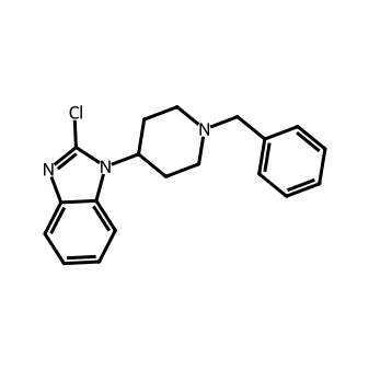 Clc1nc2ccccc2n1C1CCN(Cc2ccccc2)CC1